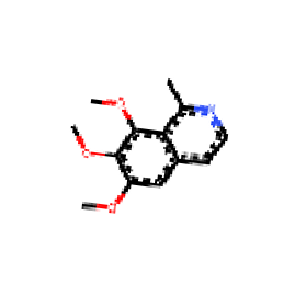 COc1cc2ccnc(C)c2c(OC)c1OC